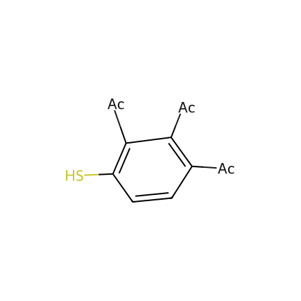 CC(=O)c1ccc(S)c(C(C)=O)c1C(C)=O